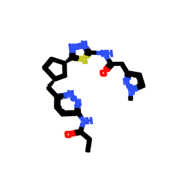 CCC(=O)Nc1ccc(C[C@@H]2CC[C@H](c3nnc(NC(=O)Cc4ccn(C)n4)s3)C2)nn1